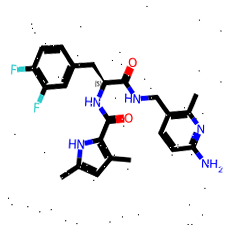 Cc1cc(C)c(C(=O)N[C@@H](Cc2ccc(F)c(F)c2)C(=O)NCc2ccc(N)nc2C)[nH]1